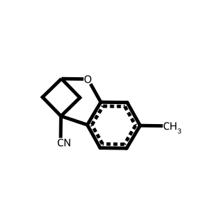 Cc1ccc2c(c1)OC1CC2(C#N)C1